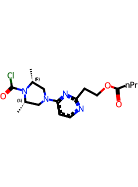 CCCC(=O)OCCc1nccc(N2C[C@@H](C)N(C(=O)Cl)[C@@H](C)C2)n1